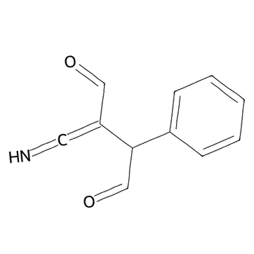 N=C=C(C=O)C(C=O)c1ccccc1